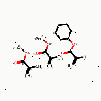 C=C(C)C(=O)OC1CCCCC1.C=C(C)C(=O)OCCCCC.C=C(C)C(=O)OCCCCCC